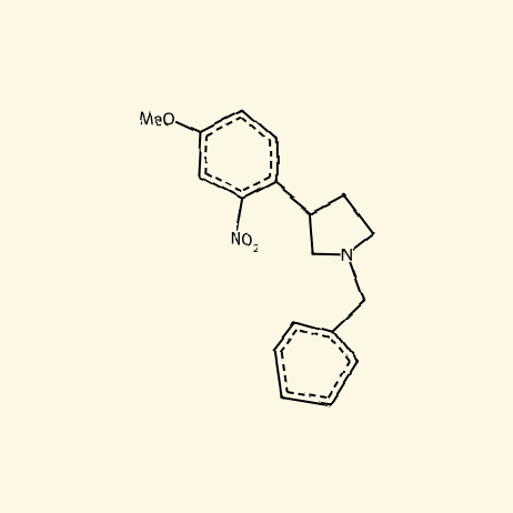 COc1ccc(C2CCN(Cc3ccccc3)C2)c([N+](=O)[O-])c1